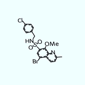 COc1c(S(=O)(=O)NCc2ccc(Cl)cc2)cc(Br)c2ccc(C)nc12